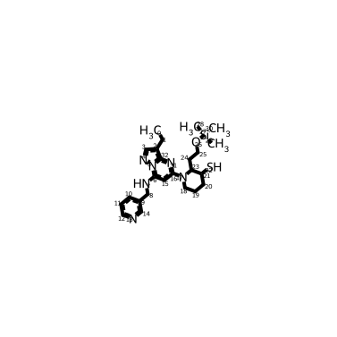 CCc1cnn2c(NCc3cccnc3)cc(N3CCCC(S)C3CCO[Si](C)(C)C)nc12